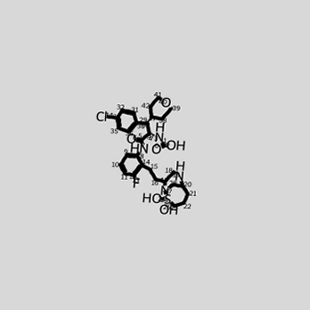 O=C(O)N[C@H](C(=O)Nc1cccc(F)c1CCC1CNC2CCCS(O)(O)N1C2)[C@@H](c1ccc(Cl)cc1)C1CCOCC1